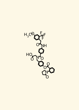 COc1ccc(CC(=O)Nc2ccc(C(=O)N(CC(=O)O)Cc3ccc(OC(=O)c4ccccc4N4CCCC4=O)cc3)cc2)c(C(F)(F)F)c1